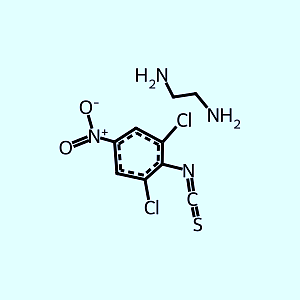 NCCN.O=[N+]([O-])c1cc(Cl)c(N=C=S)c(Cl)c1